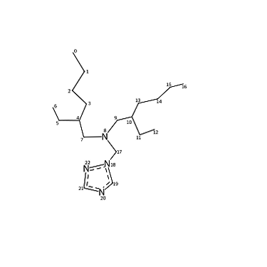 CCCCC(CC)CN(CC(CC)CCCC)Cn1cncn1